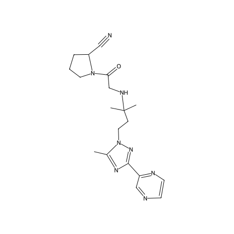 Cc1nc(-c2cnccn2)nn1CCC(C)(C)NCC(=O)N1CCCC1C#N